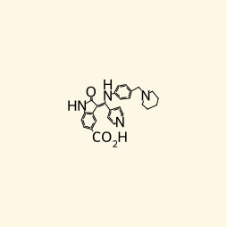 O=C1Nc2ccc(C(=O)O)cc2/C1=C(/Nc1ccc(CN2CCCCC2)cc1)c1ccncc1